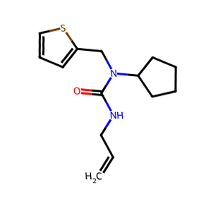 C=CCNC(=O)N(Cc1cccs1)C1CCCC1